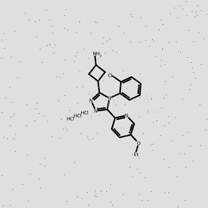 CCOc1ccc(-c2nnc(C3CC(N)C3)n2-c2ccccc2Cl)nc1.Cl.Cl.Cl